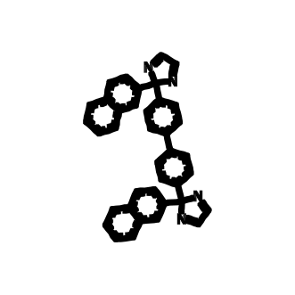 C1=NC(c2ccc(-c3ccc(C4(c5ccc6ccccc6c5)N=CC=N4)cc3)cc2)(c2ccc3ccccc3c2)N=C1